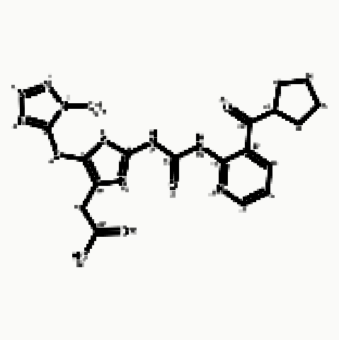 Cn1nnnc1Sc1sc(NC(=O)Nc2ncccc2C(=O)C2CCCC2)nc1CC(=O)O